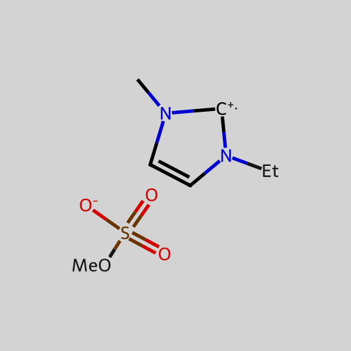 CCN1[C+]N(C)C=C1.COS(=O)(=O)[O-]